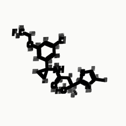 Cc1csc([C@@](C)(O)CC(=O)NC2(c3cc(Cl)cc(OCC(F)(F)F)c3)CC2)n1